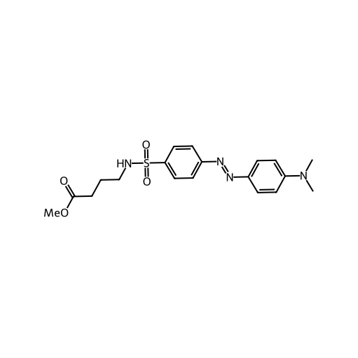 COC(=O)CCCNS(=O)(=O)c1ccc(N=Nc2ccc(N(C)C)cc2)cc1